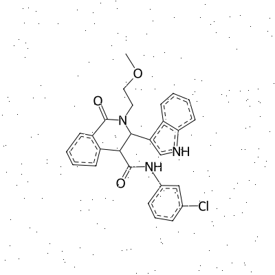 COCCN1C(=O)c2ccccc2C(C(=O)Nc2cccc(Cl)c2)C1c1c[nH]c2ccccc12